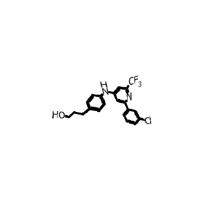 OCCCc1ccc(Nc2cc(-c3cccc(Cl)c3)nc(C(F)(F)F)c2)cc1